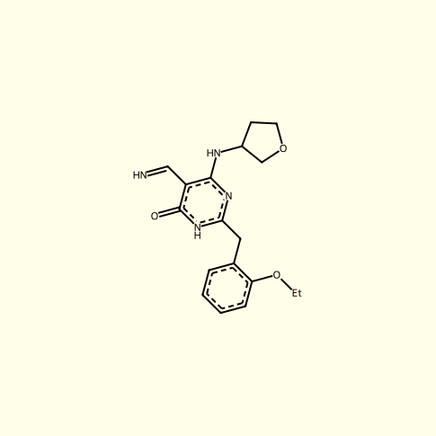 CCOc1ccccc1Cc1nc(NC2CCOC2)c(C=N)c(=O)[nH]1